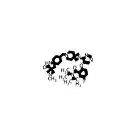 CC(C)N(C(=O)c1cc(F)ccc1Oc1cncnc1N1CC2(CCN(CC3CCC4(CC3)CC3(CN(C)C3)C(=O)N4)CC2)C1)C(C)C